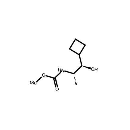 C[C@H](NC(=O)OC(C)(C)C)[C@H](O)C1CCC1